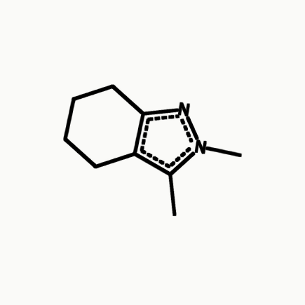 Cc1c2c(nn1C)CCCC2